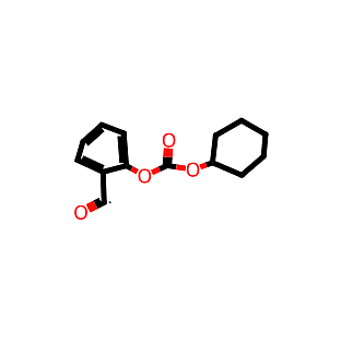 O=[C]c1ccccc1OC(=O)OC1CCCCC1